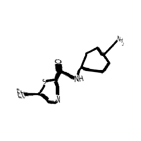 CCc1cnc(C(=O)NC2CCC(N)CC2)s1